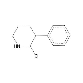 ClC1NCCCC1c1ccccc1